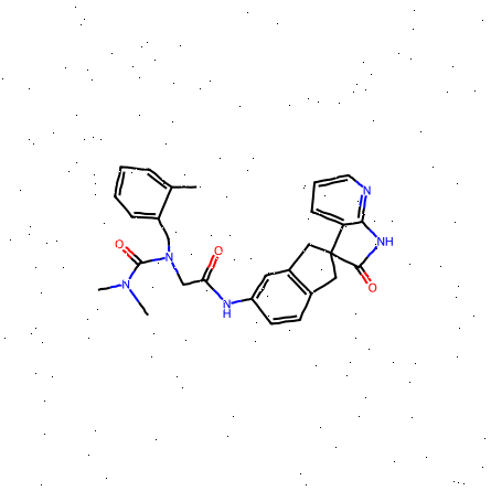 [CH2]c1ccccc1CN(CC(=O)Nc1ccc2c(c1)CC1(C2)C(=O)Nc2ncccc21)C(=O)N(C)C